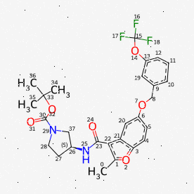 Cc1oc2ccc(OCc3cccc(OC(F)(F)F)c3)cc2c1C(=O)N[C@H]1CCN(C(=O)OC(C)(C)C)C1